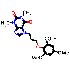 COc1cc(OC)c(OCCCn2cnc3c2c(=O)n(C)c(=O)n3C)c(C(=O)O)c1